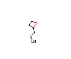 N#CSCC1CCO1